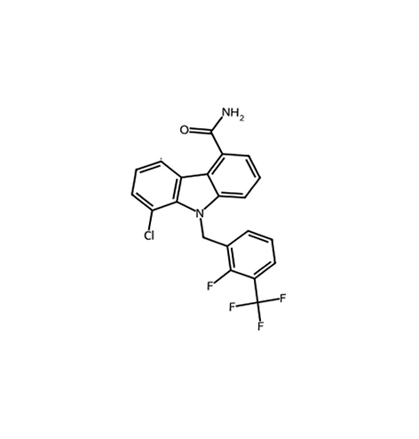 NC(=O)c1cccc2c1c1[c]ccc(Cl)c1n2Cc1cccc(C(F)(F)F)c1F